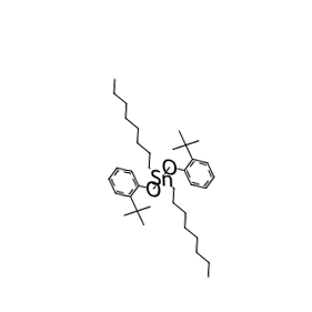 CCCCCCC[CH2][Sn]([CH2]CCCCCCC)([O]c1ccccc1C(C)(C)C)[O]c1ccccc1C(C)(C)C